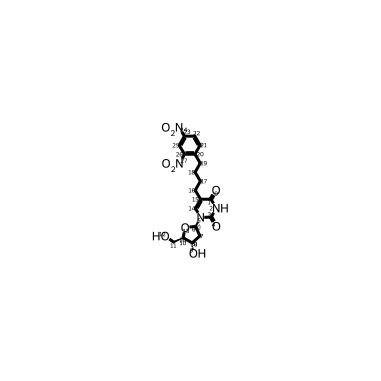 O=c1[nH]c(=O)n([C@H]2C[C@H](O)[C@@H](CO)O2)cc1CCCCc1ccc([N+](=O)[O-])cc1[N+](=O)[O-]